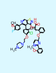 COc1cc(-c2ncc3snc(OC(Cc4ccccc4OCc4ccnc(-c5ccccc5OC)n4)C(=O)O)c3c2-c2ccc(OCCN3CCN(C)CC3)c(Cl)c2C)ccc1F